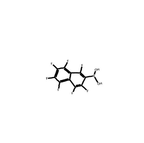 OB(O)c1c(F)c(F)c2c(F)c(F)c(F)c(F)c2c1F